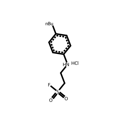 CCCCc1ccc(NCCS(=O)(=O)F)cc1.Cl